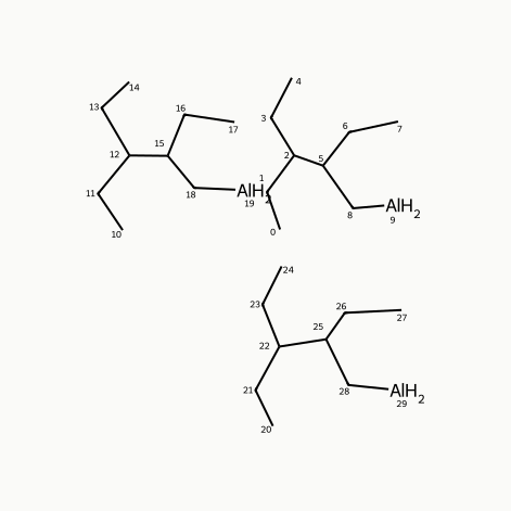 CCC(CC)C(CC)[CH2][AlH2].CCC(CC)C(CC)[CH2][AlH2].CCC(CC)C(CC)[CH2][AlH2]